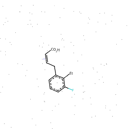 CCc1c(F)cccc1C/C=C\C(=O)O